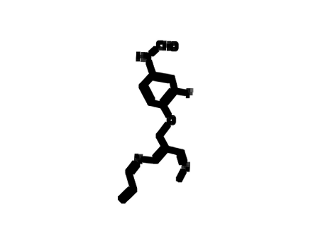 C=C\C=N/C=C(/C=N\C)COc1ccc(NC=O)cc1F